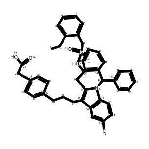 CCc1ccccc1CS(=O)(=O)NCCc1c(CCCc2ccc(CC(=O)O)cc2)c2cc(Cl)ccc2n1C(c1ccccc1)c1ccccc1